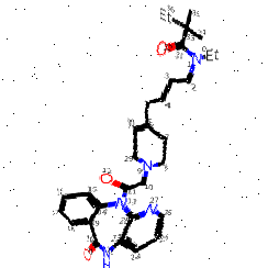 CCN(CCCCC1CCN(CC(=O)N2c3ccccc3C(=O)Nc3cccnc32)CC1)C(=O)C(C)(C)CC